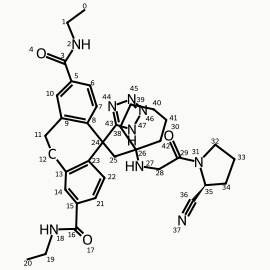 CCNC(=O)c1ccc2c(c1)CCc1cc(C(=O)NCC)ccc1C2(CC1(NCC(=O)N2CCC[C@H]2C#N)CCCCC1)c1nnn[nH]1